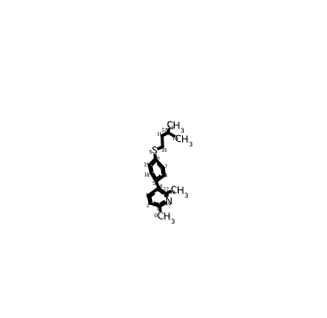 Cc1ccc(-c2ccc(SCCC(C)C)cc2)c(C)n1